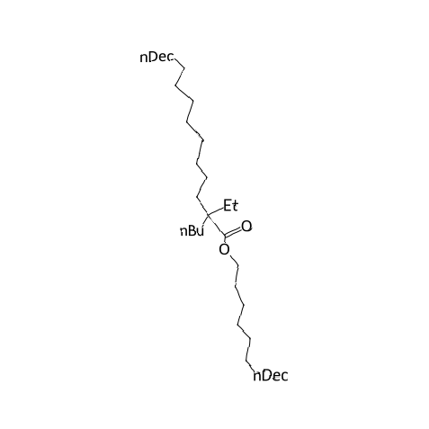 CCCCCCCCCCCCCCCCCCC(CC)(CCCC)C(=O)OCCCCCCCCCCCCCCCC